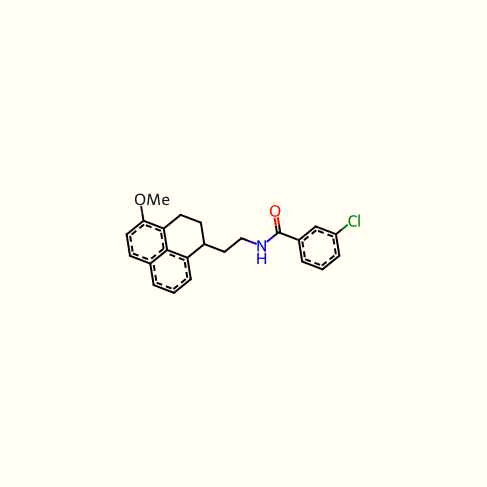 COc1ccc2cccc3c2c1CCC3CCNC(=O)c1cccc(Cl)c1